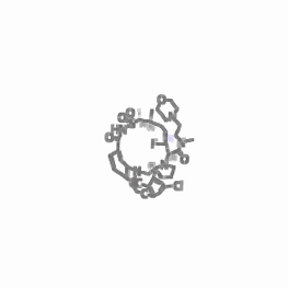 C[C@@H]1[C@@H](C)C/C=C(\F)[C@@H](C(=O)N(C)CCN2CCOCC2)N2CCC[C@@]23CN2CCCCc4cc(Cl)cc3c4COc3ccc(cc32)C(=O)NS1(=O)=O